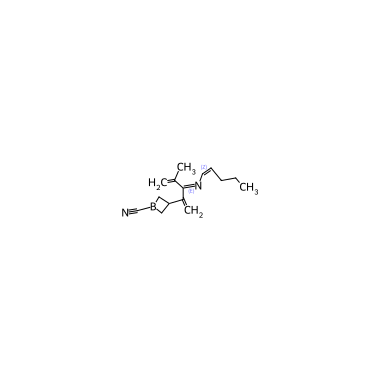 C=C(C)/C(=N\C=C/CCC)C(=C)C1CB(C#N)C1